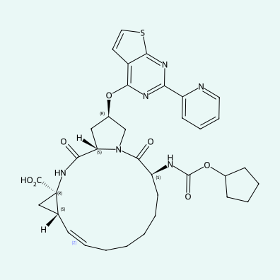 O=C(N[C@H]1CCCCC/C=C\[C@@H]2C[C@@]2(C(=O)O)NC(=O)[C@@H]2C[C@@H](Oc3nc(-c4ccccn4)nc4sccc34)CN2C1=O)OC1CCCC1